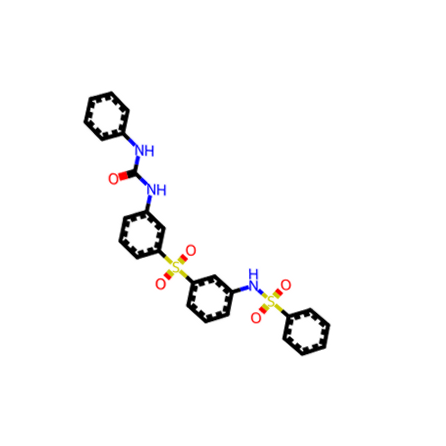 O=C(Nc1ccccc1)Nc1cccc(S(=O)(=O)c2cccc(NS(=O)(=O)c3ccccc3)c2)c1